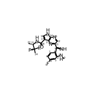 CNc1cc(F)ccc1C(=N)c1cnc2[nH]cc(C(=O)N[C@H](C)C(C)(F)F)c2n1